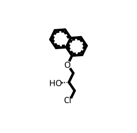 O[C@@H](CCl)COc1cccc2ccccc12